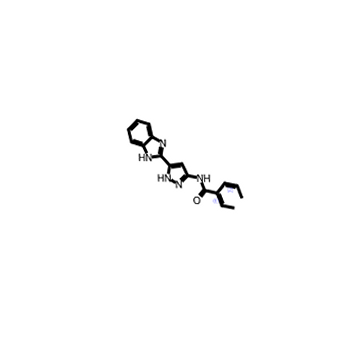 C/C=C\C(=C/C)C(=O)Nc1cc(-c2nc3ccccc3[nH]2)[nH]n1